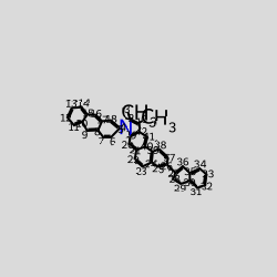 Cc1c(C)n(-c2ccc3cc4ccccc4cc3c2)c2cc3ccc4cc(-c5ccc6ccccc6c5)ccc4c3cc12